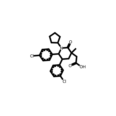 CC1(CC(=O)O)CC(c2cccc(Cl)c2)C(c2ccc(Cl)cc2)N(C2CCCC2)C1=O